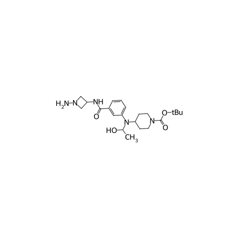 CC(O)N(c1cccc(C(=O)NC2CN(N)C2)c1)C1CCN(C(=O)OC(C)(C)C)CC1